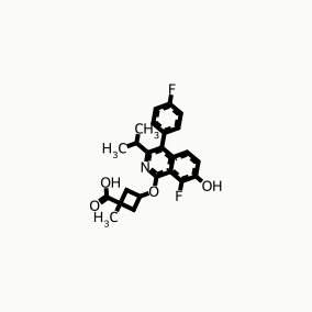 CC(C)c1nc(OC2CC(C)(C(=O)O)C2)c2c(F)c(O)ccc2c1-c1ccc(F)cc1